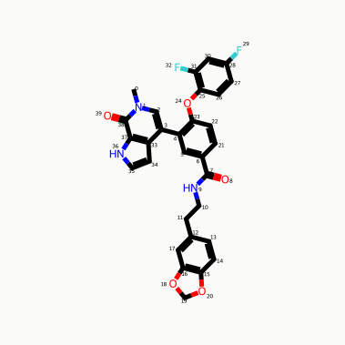 Cn1cc(-c2cc(C(=O)NCCc3ccc4c(c3)OCO4)ccc2Oc2ccc(F)cc2F)c2cc[nH]c2c1=O